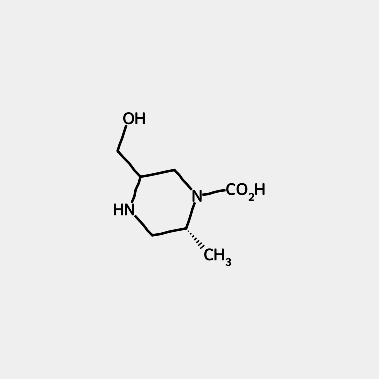 C[C@@H]1CNC(CO)CN1C(=O)O